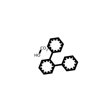 O=C(O)O.c1ccc(-c2ccccc2-c2ccccc2)cc1